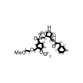 COCCOCc1cc(C(=O)N(C[C@@H]2CNCC2CNC(=O)Cc2ccccc2)C(C)C)ccc1OC(F)(F)F